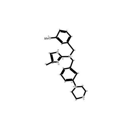 COc1cccc(CN(Cc2cccc(N3CCOCC3)c2)c2nc(C)co2)c1